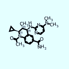 CC(=O)N1c2ccc(C(N)=O)cc2[C@H](Nc2nccc(N(C)C)n2)[C@@H](C)[C@@H]1C1CC1